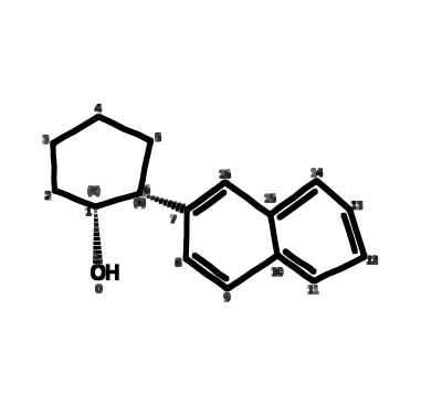 O[C@@H]1CCCC[C@@H]1c1ccc2ccccc2c1